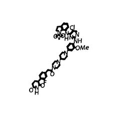 COc1cc(N2CCC(N3CCN(C(=O)Cc4ccc(C5CCC(=O)NC5=O)c(F)c4)CC3)CC2)ccc1Nc1ncc(Cl)c(Nc2cccc3c2N(S(C)(=O)=O)CC3)n1